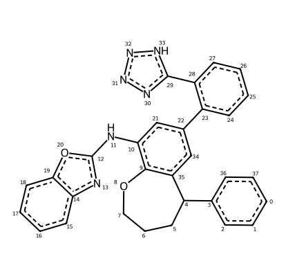 c1ccc(C2CCCOc3c(Nc4nc5ccccc5o4)cc(-c4ccccc4-c4nnn[nH]4)cc32)cc1